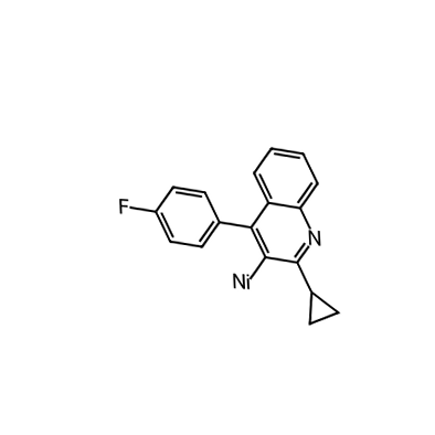 Fc1ccc(-c2[c]([Ni])c(C3CC3)nc3ccccc23)cc1